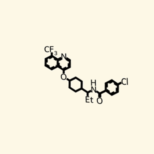 CCC(NC(=O)c1ccc(Cl)cc1)C1CCC(Oc2ccnc3c(C(F)(F)F)cccc23)CC1